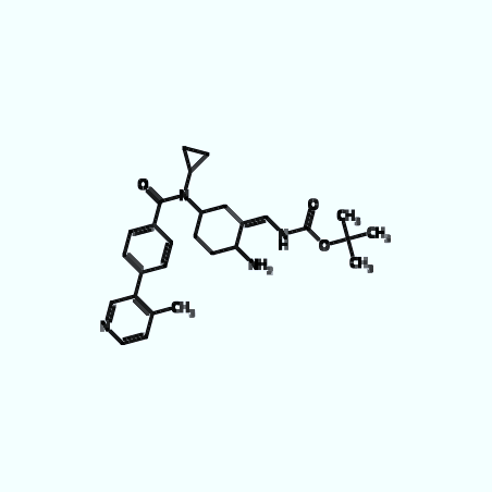 Cc1ccncc1-c1ccc(C(=O)N(C2CC2)C2CCC(N)/C(=C\NC(=O)OC(C)(C)C)C2)cc1